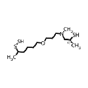 CC(CCCCOCCCN(C)C[C@H](C)S)SS